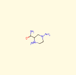 NC(=O)C1CN(N)CCN1